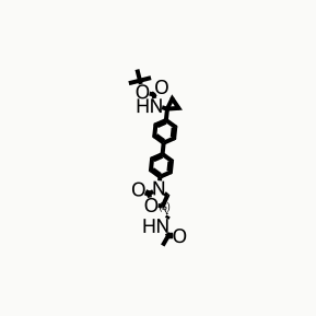 CC(=O)NC[C@H]1CN(c2ccc(-c3ccc(C4(NC(=O)OC(C)(C)C)CC4)cc3)cc2)C(=O)O1